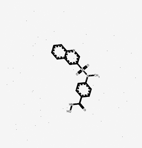 CN(c1ccc(C(=O)NO)cc1)S(=O)(=O)c1cnc2ccccc2c1